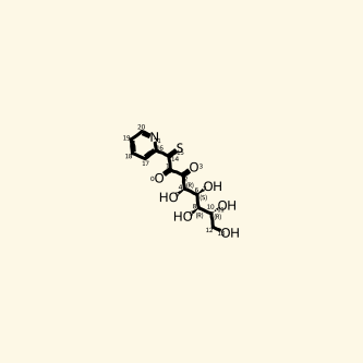 O=C(C(=O)[C@H](O)[C@@H](O)[C@H](O)[C@H](O)CO)C(=S)c1ccccn1